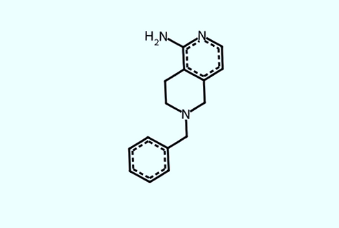 Nc1nccc2c1CCN(Cc1ccccc1)C2